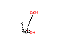 CC(C)CCC[C@@H](C)[C@H]1CC[C@H]2[C@@H]3CC=C4C[C@@H](O)CC[C@]4(C)C3(CCCCCCCCCCCCCC=CC(=O)O)CC[C@]12C